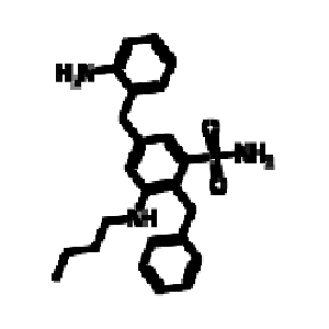 CCCCNc1cc(Cc2ccccc2N)cc(S(N)(=O)=O)c1Cc1ccccc1